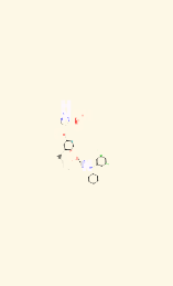 CC1(COc2cc(F)c(C(=O)C[C@@H]3CCN[C@@H]3C(=O)O)cc2C2CC2)CN([C@@H](c2ccccc2)c2cc(Cl)cc(Cl)c2)C1